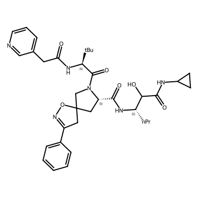 CCC[C@H](NC(=O)[C@@H]1CC2(CC(c3ccccc3)=NO2)CN1C(=O)[C@@H](NC(=O)Cc1cccnc1)C(C)(C)C)C(O)C(=O)NC1CC1